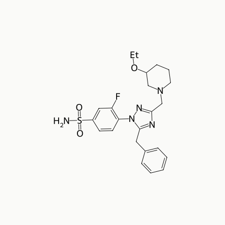 CCOC1CCCN(Cc2nc(Cc3ccccc3)n(-c3ccc(S(N)(=O)=O)cc3F)n2)C1